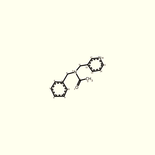 CC(=O)N(Cc1c[c]ccc1)Cc1cccnc1